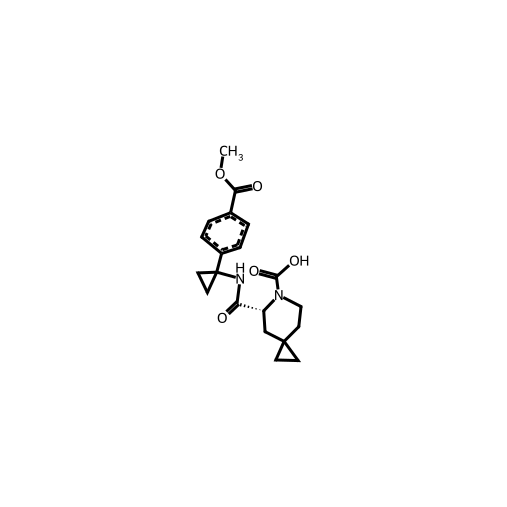 COC(=O)c1ccc(C2(NC(=O)[C@H]3CC4(CCN3C(=O)O)CC4)CC2)cc1